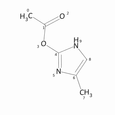 CC(=O)Oc1nc(C)c[nH]1